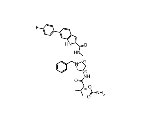 CC(C)[C@@H](OC(N)=O)C(=O)N[C@H]1C[C@@H](CNC(=O)c2cc3ccc(-c4ccc(F)cc4)cc3[nH]2)N(Cc2ccccc2)C1